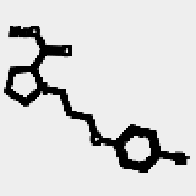 COC(=O)C1CCCN1CCCOc1ccc(Br)cc1